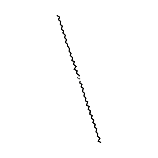 CCCCCCCCCCCCCCCCCCCCCCCCCCCCSSCCCCCCCCCCCCCCCCCCCCCCCCCCCC